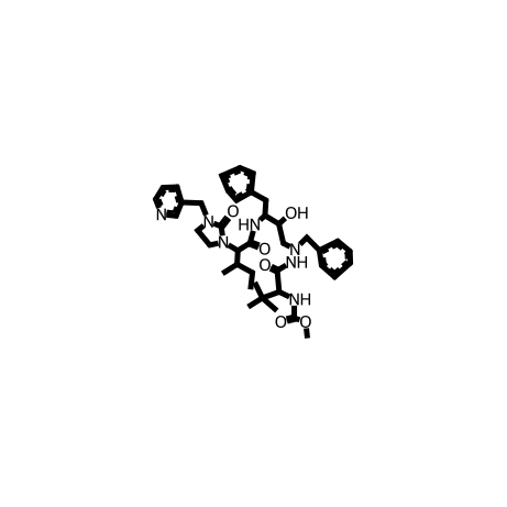 CCC(C)C(C(=O)NC(Cc1ccccc1)C(O)CN(Cc1ccccc1)NC(=O)C(NC(=O)OC)C(C)(C)C)N1CCN(Cc2cccnc2)C1=O